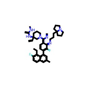 C=CC1(NC(=C)NC)CCCN(/C(N=C)=C2\C=CC(c3cc(C)cc4ccc(F)c(CC)c34)=C(F)\C2=N\CCCC23CCCN2CCC3)C1